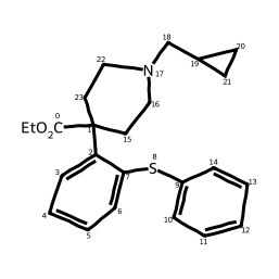 CCOC(=O)C1(c2ccccc2Sc2ccccc2)CCN(CC2CC2)CC1